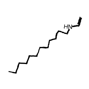 C=CNCCCCCCCCCCCC